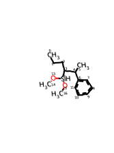 CCCC(C(C)c1ccccc1)[SiH](OC)OC